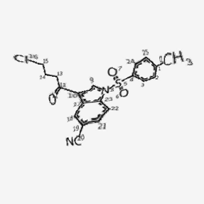 Cc1ccc(S(=O)(=O)n2cc(C(=O)CCCCl)c3cc(C#N)ccc32)cc1